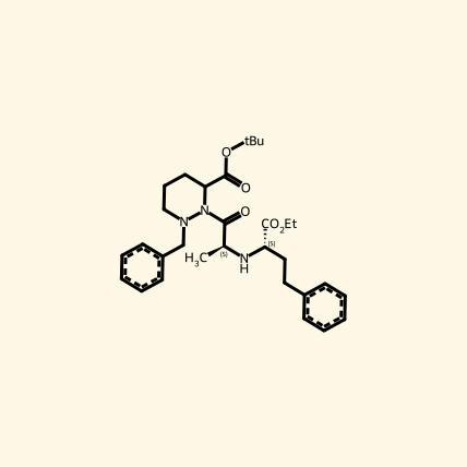 CCOC(=O)[C@H](CCc1ccccc1)N[C@@H](C)C(=O)N1C(C(=O)OC(C)(C)C)CCCN1Cc1ccccc1